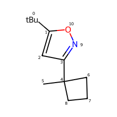 CC(C)(C)c1cc(C2(C)CCC2)no1